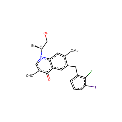 CC[C@@H](CO)n1cc(C=O)c(=O)c2cc(Cc3cccc(I)c3F)c(OC)cc21